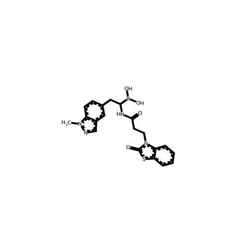 Cn1ncc2cc(CC(NC(=O)CCn3c(=O)sc4ccccc43)B(O)O)ccc21